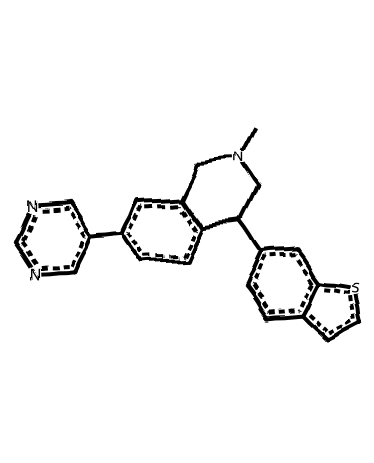 CN1Cc2cc(-c3cncnc3)ccc2C(c2ccc3ccsc3c2)C1